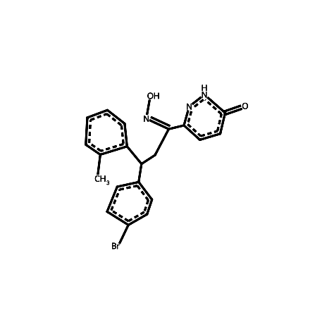 Cc1ccccc1C(C/C(=N/O)c1ccc(=O)[nH]n1)c1ccc(Br)cc1